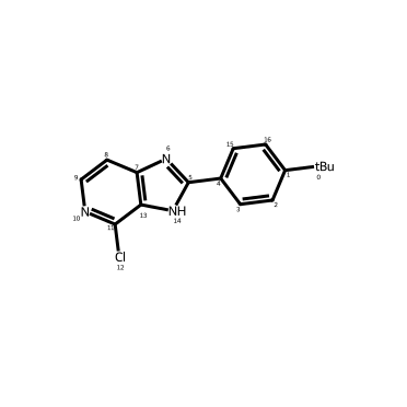 CC(C)(C)c1ccc(-c2nc3ccnc(Cl)c3[nH]2)cc1